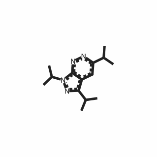 CC(C)c1cc2c(C(C)C)nn(C(C)C)c2nn1